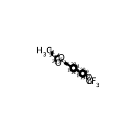 CC=C[C@H]1CO[C@H](C#Cc2ccc(-c3ccc(OC(F)(F)F)cc3)cc2)OC1